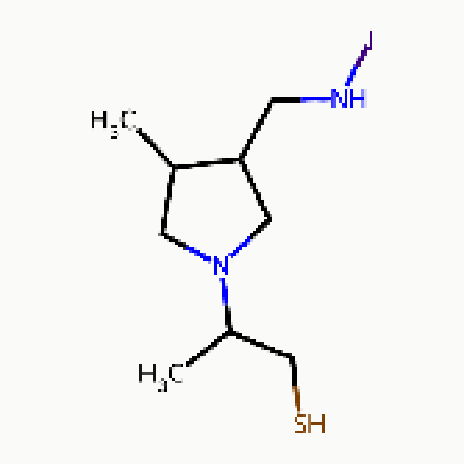 CC1CN(C(C)CS)CC1CNI